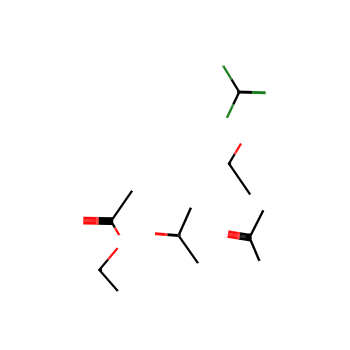 CC(C)=O.CC(C)O.CCO.CCOC(C)=O.ClC(Cl)Cl